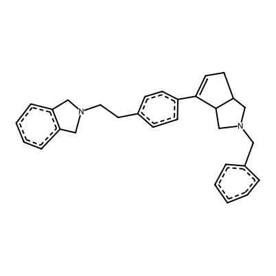 C1=C(c2ccc(CCN3Cc4ccccc4C3)cc2)C2CN(Cc3ccccc3)CC2C1